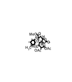 COC(=O)[C@@]1(Sc2ccc(C)cc2)C[C@@H]2OC(=O)N[C@H]2[C@H]([C@H](OC(C)=O)[C@@H](COC(C)=O)OC(C)=O)O1